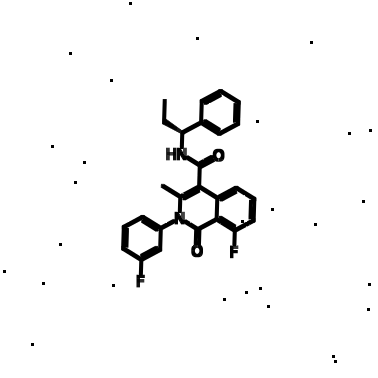 CC[C@H](NC(=O)c1c(C)n(-c2cccc(F)c2)c(=O)c2c(F)cccc12)c1ccccc1